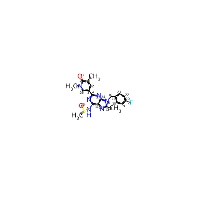 Cc1cc(-c2nc(N[S+](C)[O-])c3nc(C)n(Cc4ccc(F)cc4)c3n2)cn(C)c1=O